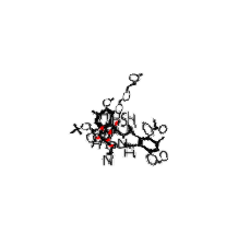 COCCOCOc1c(OC)c(C)cc2c1[C@@H]1C3[C@@H]4SCC(NC(=O)OC(C)(C)C)C(=O)OC[C@@H](c5c6c(c(C)c(OC(C)=O)c54)OCO6)N3C(C#N)[C@H](C2)N1C